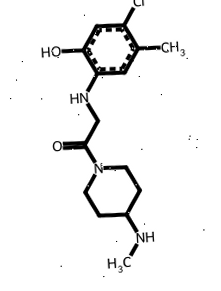 CNC1CCN(C(=O)CNc2cc(C)c(Cl)cc2O)CC1